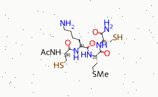 CSCC[C@H](NC(=O)[C@H](CCCCN)NC(=O)[C@H](CS)NC(C)=O)C(=O)N[C@@H](CS)C(N)=O